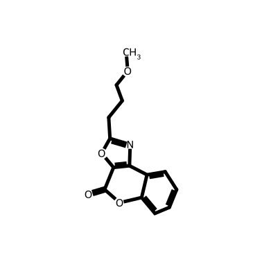 COCCCc1nc2c(o1)c(=O)oc1ccccc12